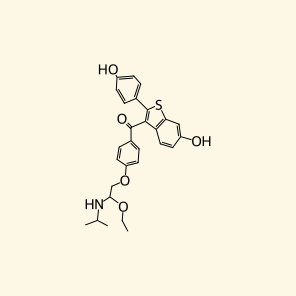 CCOC(COc1ccc(C(=O)c2c(-c3ccc(O)cc3)sc3cc(O)ccc23)cc1)NC(C)C